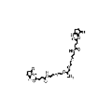 CC(COCCOCCNC(=O)CCC(=O)ON1C(=O)CCC1=O)OCCOCCNC(=O)CCC(=O)ON1C(=O)CCC1=O